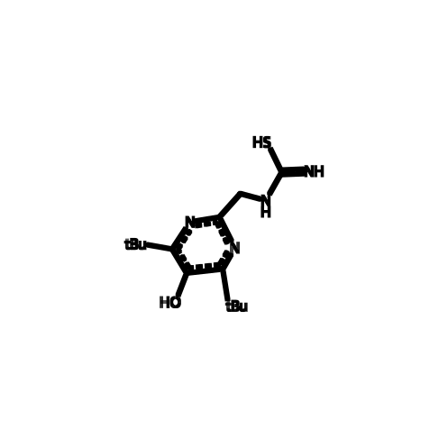 CC(C)(C)c1nc(CNC(=N)S)nc(C(C)(C)C)c1O